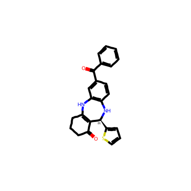 O=C1CCCC2=C1[C@H](c1cccs1)Nc1ccc(C(=O)c3ccccc3)cc1N2